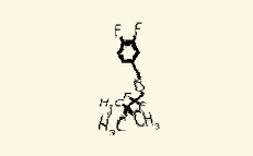 CC(C)(C)C(F)(F)COCc1ccc(F)c(F)c1